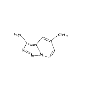 Cc1ccn2nnc(N)c2c1